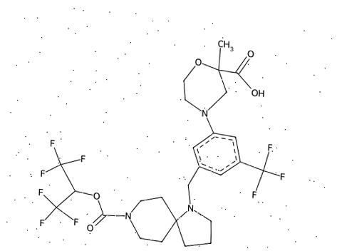 CC1(C(=O)O)CN(c2cc(CN3CCCC34CCN(C(=O)OC(C(F)(F)F)C(F)(F)F)CC4)cc(C(F)(F)F)c2)CCO1